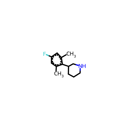 Cc1cc(F)cc(C)c1C1CCCNC1